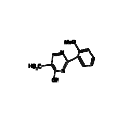 COc1ccccc1-c1ncc(C(=O)O)c(O)n1